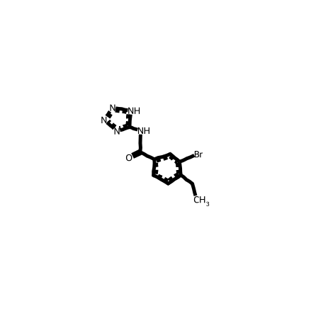 CCc1ccc(C(=O)Nc2nnn[nH]2)cc1Br